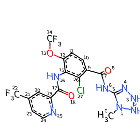 CN1NNN=C1NC(=O)c1ccc(OC(F)(F)F)c(NC(=O)c2cc(C(F)(F)F)ccn2)c1Cl